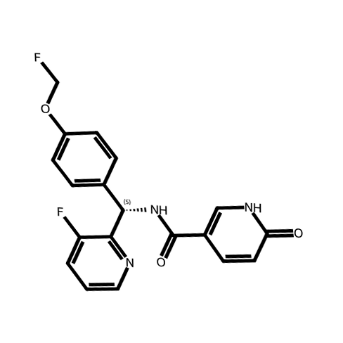 O=C(N[C@@H](c1ccc(OCF)cc1)c1ncccc1F)c1ccc(=O)[nH]c1